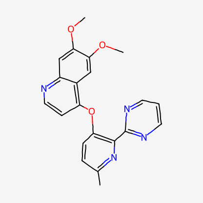 COc1cc2nccc(Oc3ccc(C)nc3-c3ncccn3)c2cc1OC